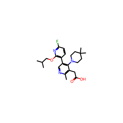 Cc1ncc(-c2ccc(F)nc2OCC(C)C)c(N2CCC(C)(C)CC2)c1CC(=O)O